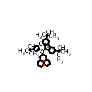 CC1C=C(C(C)(C)C)C=[C]1[Zr](=[C](Cc1ccccc1)Cc1ccccc1)[CH]1c2ccc(C(C)(C)C)cc2-c2cc(C(C)(C)C)ccc21